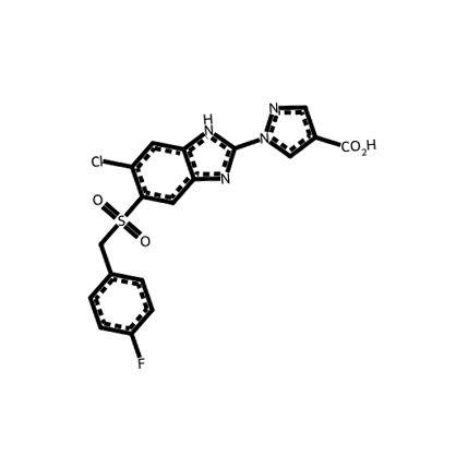 O=C(O)c1cnn(-c2nc3cc(S(=O)(=O)Cc4ccc(F)cc4)c(Cl)cc3[nH]2)c1